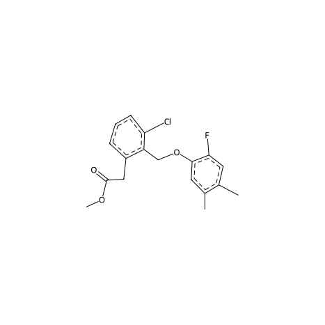 COC(=O)Cc1cccc(Cl)c1COc1cc(C)c(C)cc1F